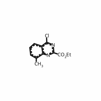 CCOC(=O)c1nc(Cl)c2cccc(C)c2n1